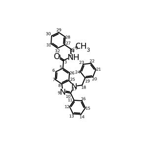 C[C@H](NC(=O)c1ccc2nc(-c3ccccc3)n(Cc3ccccc3)c2c1)c1ccccc1